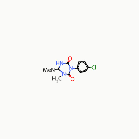 CNC1NC(=O)N(c2ccc(Cl)cc2)C(=O)N1C